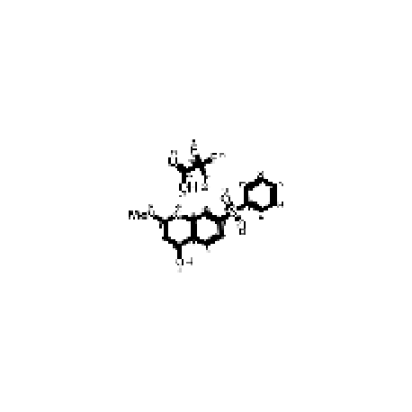 CNC1CC(O)c2ccc(S(=O)(=O)c3ccccc3)cc2O1.O=C(O)C(F)(F)F